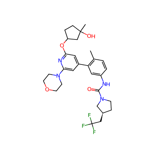 Cc1ccc(NC(=O)N2CC[C@@H](CC(F)(F)F)C2)cc1-c1cc(OC2CCC(C)(O)C2)nc(N2CCOCC2)c1